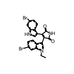 CCn1cc(C2=C(c3c[nH]c4cc(Br)ccc34)C(=O)NC2=O)c2ccc(Br)cc21